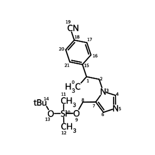 CC(Cn1cncc1CO[Si](C)(C)OC(C)(C)C)c1ccc(C#N)cc1